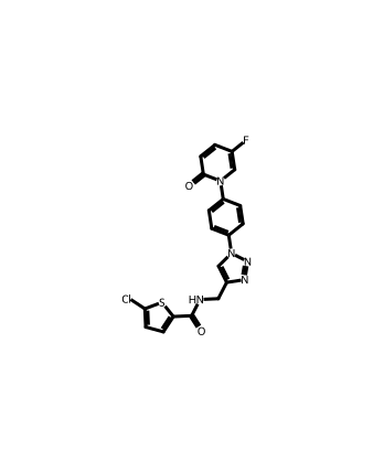 O=C(NCc1cn(-c2ccc(-n3cc(F)ccc3=O)cc2)nn1)c1ccc(Cl)s1